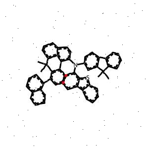 CC1(C)c2ccccc2-c2ccc(N(c3ccc4cccc5c4c3-c3cccc(-c4cccc6ccccc46)c3C5(C)C)c3cccc4c3sc3ccccc34)cc21